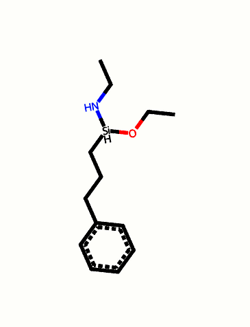 CCN[SiH](CCCc1ccccc1)OCC